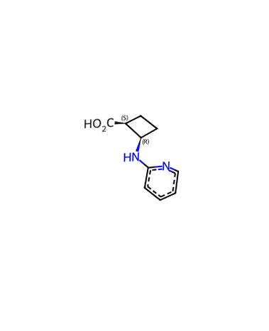 O=C(O)[C@H]1CC[C@H]1Nc1ccccn1